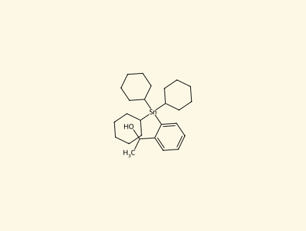 CC(O)c1cccc[c]1[Sn]([CH]1CCCCC1)([CH]1CCCCC1)[CH]1CCCCC1